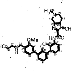 COc1cc(-c2cccc(-c3cccc(NC(=O)c4nc5c(n4C)CCN(C)C5)c3Cl)c2Cl)ccc1CNCCO